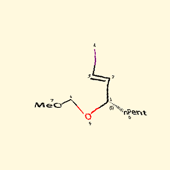 CCCCC[C@@H](C=CI)OCOC